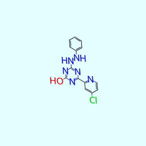 Oc1nc(NNc2ccccc2)nc(-c2cc(Cl)ccn2)n1